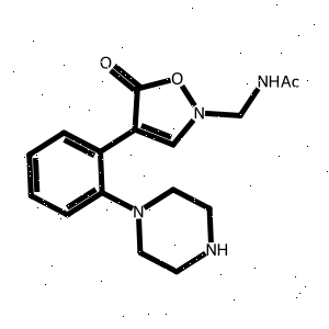 CC(=O)NCn1cc(-c2ccccc2N2CCNCC2)c(=O)o1